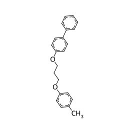 Cc1ccc(OCCCOc2ccc(-c3ccccc3)cc2)cc1